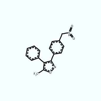 O=[SH](=O)Cc1ccc(-c2noc(C(F)(F)F)c2-c2ccccc2)cc1